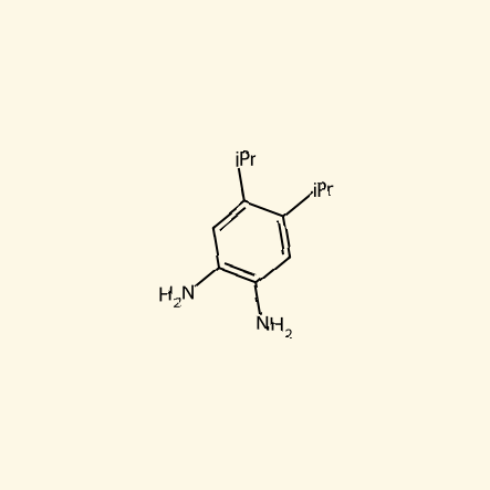 CC(C)c1cc(N)c(N)cc1C(C)C